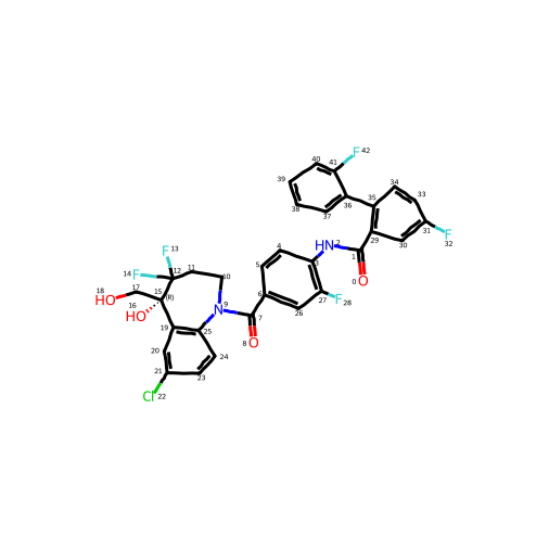 O=C(Nc1ccc(C(=O)N2CCC(F)(F)[C@](O)(CO)c3cc(Cl)ccc32)cc1F)c1cc(F)ccc1-c1ccccc1F